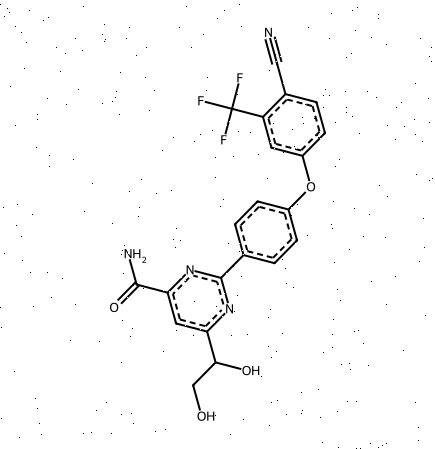 N#Cc1ccc(Oc2ccc(-c3nc(C(N)=O)cc(C(O)CO)n3)cc2)cc1C(F)(F)F